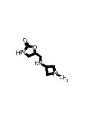 CN1CC(NCC2CNC(=O)O2)C1